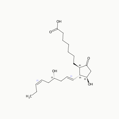 CC/C=C\C[C@H](O)C/C=C/[C@H]1[C@H](O)CC(=O)[C@@H]1CCCCCCC(=O)O